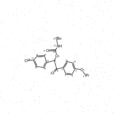 CC(C)Oc1ccc(C(=O)C(OC(=O)NC(C)(C)C)c2ccc(Cl)cc2)cc1